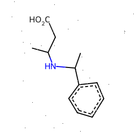 CC(CC(=O)O)NC(C)c1ccccc1